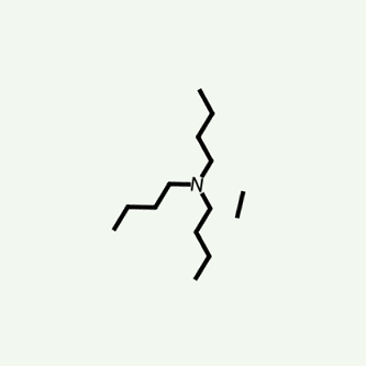 CC.CCCCN(CCCC)CCCC